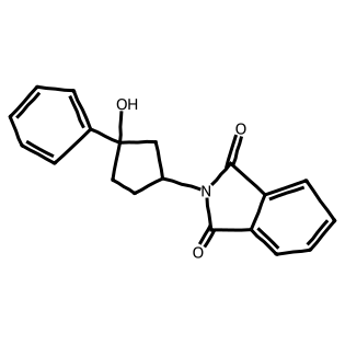 O=C1c2ccccc2C(=O)N1C1CCC(O)(c2ccccc2)C1